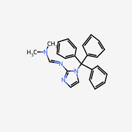 CN(C)C=Nc1nccn1C(c1ccccc1)(c1ccccc1)c1ccccc1